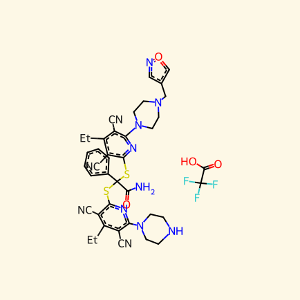 CCc1c(C#N)c(SC(Sc2nc(N3CCN(Cc4cnoc4)CC3)c(C#N)c(CC)c2C#N)(C(N)=O)c2ccccc2)nc(N2CCNCC2)c1C#N.O=C(O)C(F)(F)F